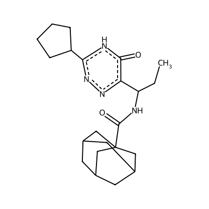 CCC(NC(=O)C12CC3CC(CC(C3)C1)C2)c1nnc(C2CCCC2)[nH]c1=O